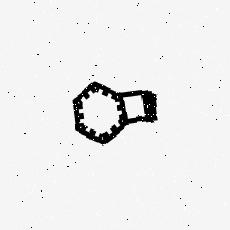 C1#Cc2ccc[c]c21